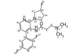 CN(C)CCC(=O)Nc1c(-c2cc(F)ccc2F)ccnc1N1CCC(F)C1